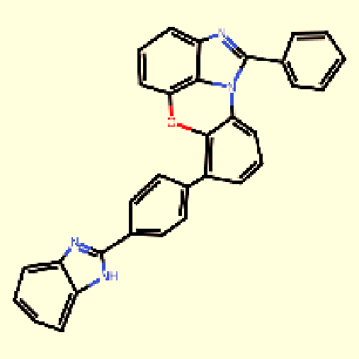 c1ccc(-c2nc3cccc4c3n2-c2cccc(-c3ccc(-c5nc6ccccc6[nH]5)cc3)c2O4)cc1